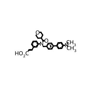 CN(C)c1ccc(C23CCC(CN(C(=O)C4CCOCC4)c4cccc(/C=C/C(=O)O)c4)(CC2)CC3)cc1